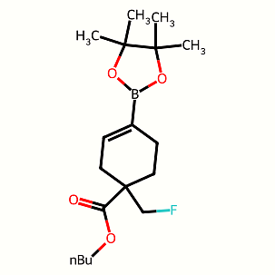 CCCCOC(=O)C1(CF)CC=C(B2OC(C)(C)C(C)(C)O2)CC1